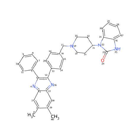 Cc1cc2nc(-c3ccccc3)c(-c3ccc(CN4CCC(n5c(=O)[nH]c6ccccc65)CC4)cc3)nc2cc1C